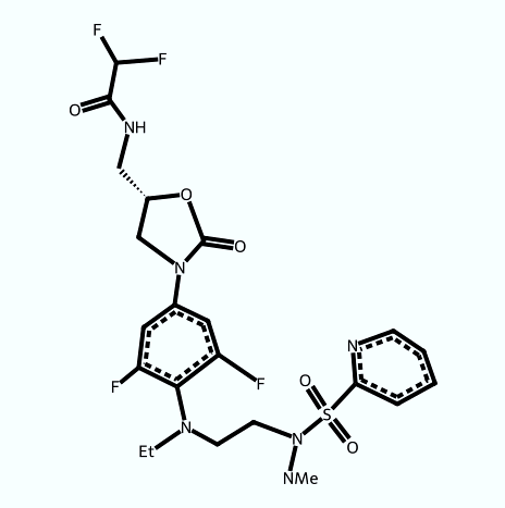 CCN(CCN(NC)S(=O)(=O)c1ccccn1)c1c(F)cc(N2C[C@H](CNC(=O)C(F)F)OC2=O)cc1F